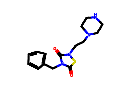 O=c1sn(CCN2CCNCC2)c(=O)n1Cc1ccccc1